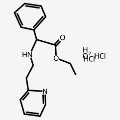 CCOC(=O)C(NCCc1ccccn1)c1ccccc1.Cl.Cl.O